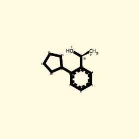 C[C@H](O)c1ccccc1C1CCCC1